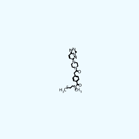 CSCCN(C)C(=O)c1ccc(CC(=O)N2CCN(c3ccc4nncn4n3)CC2)cc1